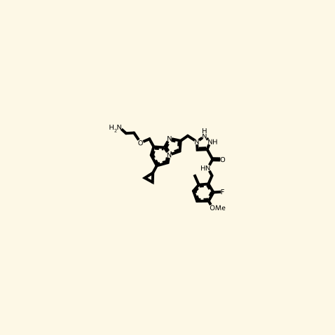 COc1ccc(C)c(CNC(=O)C2=CN(Cc3cn4cc(C5CC5)cc(COCCN)c4n3)NN2)c1F